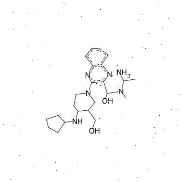 CC(N)N(C)C(O)c1nc2ccccc2nc1N1CCC(NC2CCCC2)C(CO)C1